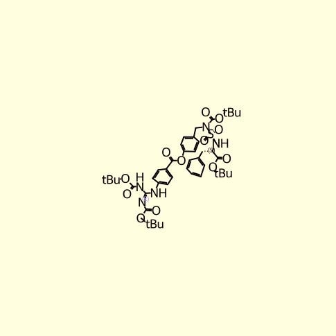 CC(C)(C)OC(=O)/N=C(/NC(=O)OC(C)(C)C)Nc1ccc(C(=O)Oc2ccc(CN(C(=O)OC(C)(C)C)S(=O)(=O)N[C@@H](Cc3ccccc3)C(=O)OC(C)(C)C)cc2)cc1